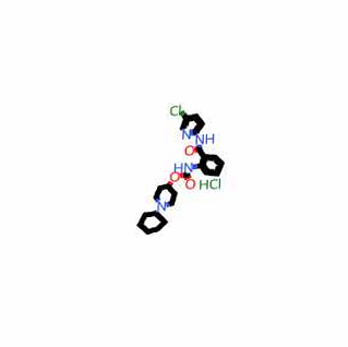 Cl.O=C(Nc1ccccc1C(=O)Nc1ccc(Cl)cn1)OC1CCN(C2CCCCC2)CC1